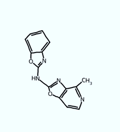 Cc1nccc2oc(Nc3nc4ccccc4o3)nc12